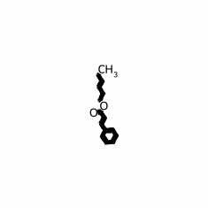 CCC=CCCOC(=O)C=Cc1ccccc1